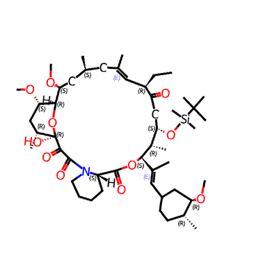 CC[C@@H]1/C=C(\C)C[C@H](C)C[C@H](OC)[C@H]2O[C@@](O)(C(=O)C(=O)N3CCCC[C@H]3C(=O)O[C@H](/C(C)=C/C3CC[C@@H](C)[C@H](OC)C3)[C@@H](C)[C@@H](O[Si](C)(C)C(C)(C)C)CC1=O)[C@H](C)C[C@@H]2OC